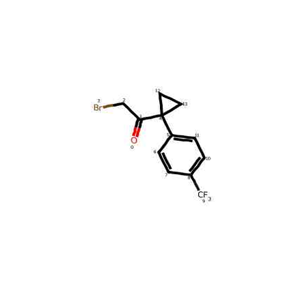 O=C(CBr)C1(c2ccc(C(F)(F)F)cc2)CC1